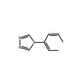 C/C=C\C(=C/C)n1cnnc1